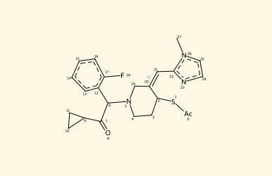 CC(=O)SC1CCN(C(C(=O)C2CC2)c2ccccc2F)C/C1=C/c1nccn1C